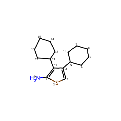 Nc1scc(C2CCCCC2)c1C1CCCCC1